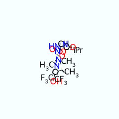 CC=Cc1cc(C(O)(C(F)(F)F)C(F)(F)F)ccc1N1CC(C)N(C(=O)CN2C(=O)N[C@@](C)(c3ccc(OC(C)C)cn3)C2=O)CC1C